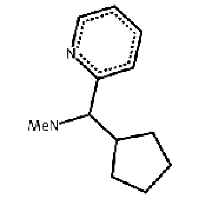 CNC(c1ccccn1)C1CCCC1